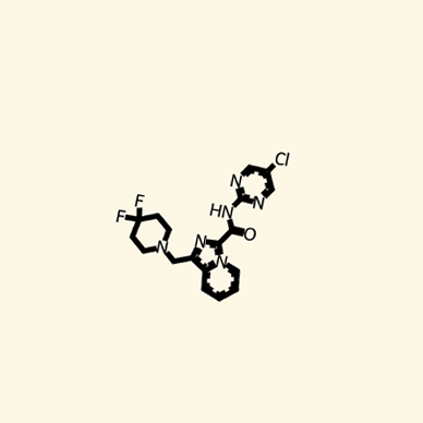 O=C(Nc1ncc(Cl)cn1)c1nc(CN2CCC(F)(F)CC2)c2ccccn12